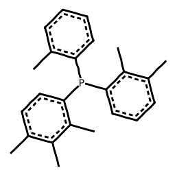 Cc1ccccc1P(c1cccc(C)c1C)c1ccc(C)c(C)c1C